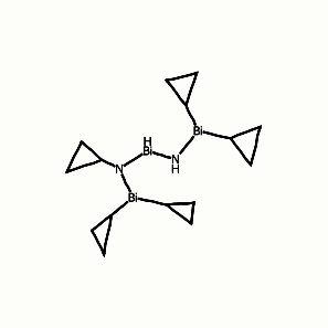 C1CC1[N]([BiH][NH][Bi]([CH]1CC1)[CH]1CC1)[Bi]([CH]1CC1)[CH]1CC1